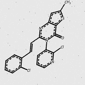 Cc1cc2nc(/C=C/c3ccccc3Cl)n(-c3cccnc3Cl)c(=O)c2s1